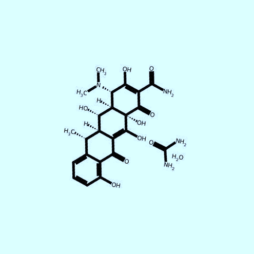 C[C@H]1c2cccc(O)c2C(=O)C2=C(O)[C@]3(O)C(=O)C(C(N)=O)=C(O)[C@@H](N(C)C)[C@@H]3[C@@H](O)[C@@H]21.NC(N)=O.O